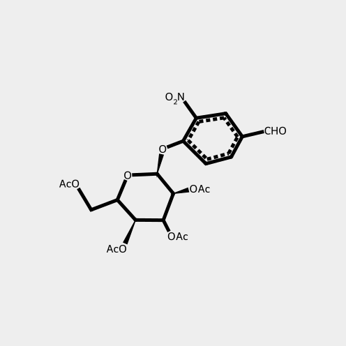 CC(=O)OCC1O[C@@H](Oc2ccc(C=O)cc2[N+](=O)[O-])[C@@H](OC(C)=O)C(OC(C)=O)[C@H]1OC(C)=O